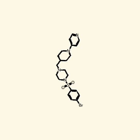 O=S(=O)(c1ccc(Br)cc1)N1CCN(CC2CCN(c3ccncc3)CC2)CC1